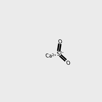 O=[S-2]=O.[Ca+2]